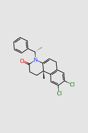 C[C@@H](c1ccccc1)N1C(=O)CC[C@]2(C)C1=CCc1cc(Cl)c(Cl)cc12